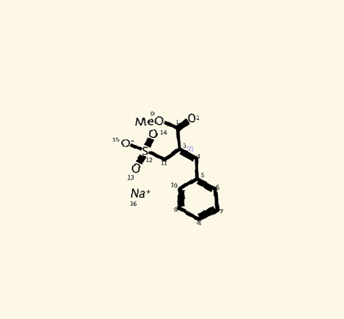 COC(=O)/C(=C/c1ccccc1)CS(=O)(=O)[O-].[Na+]